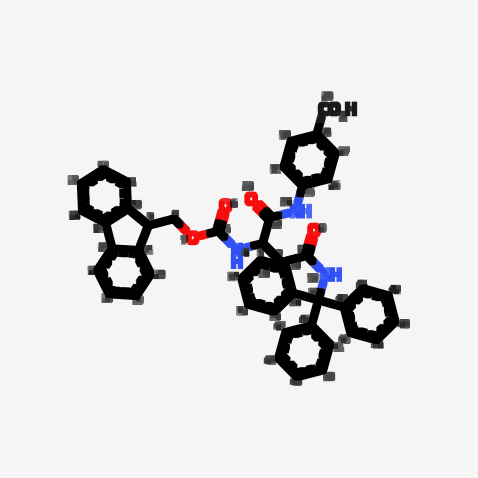 O=C(CC(NC(=O)OCC1c2ccccc2-c2ccccc21)C(=O)Nc1ccc(C(=O)O)cc1)NC(c1ccccc1)(c1ccccc1)c1ccccc1